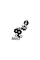 COC(=O)C(=O)c1ccc(Nc2ccnc(N3CCOCC3)n2)c2ccccc12